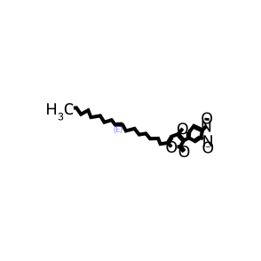 CCCCCCCC/C=C/CCCCCCCc1cc2oc3cc(N=O)c(N=O)cc3c2c(=O)o1